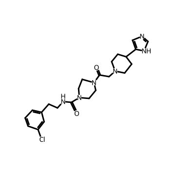 O=C(CN1CCC(c2cnc[nH]2)CC1)N1CCN(C(=O)NCCc2cccc(Cl)c2)CC1